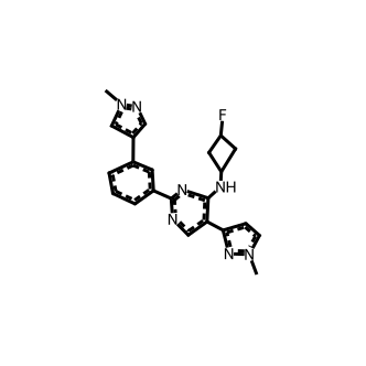 Cn1cc(-c2cccc(-c3ncc(-c4ccn(C)n4)c(NC4CC(F)C4)n3)c2)cn1